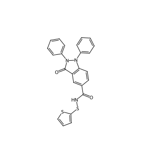 O=C(NSc1cccs1)c1ccc2c(c1)c(=O)n(-c1ccccc1)n2-c1ccccc1